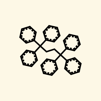 c1ccc(C(CCC(c2ccccc2)(c2ccccc2)c2ccccc2)(c2ccccc2)c2ccccc2)cc1